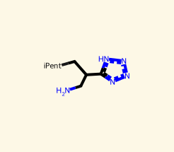 CCCC(C)CC(CN)c1nnn[nH]1